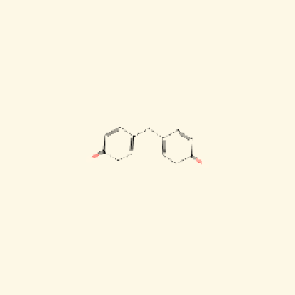 O=C1C=CC([C]C2=CCC(=O)C=C2)=CC1